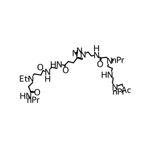 CCCNC(=O)CCN(CC)CCC(=O)NCCNC(=O)CCc1cn(CCNC(=O)CN(CCC)CCNCCN(CCC)CC(C)=O)nn1